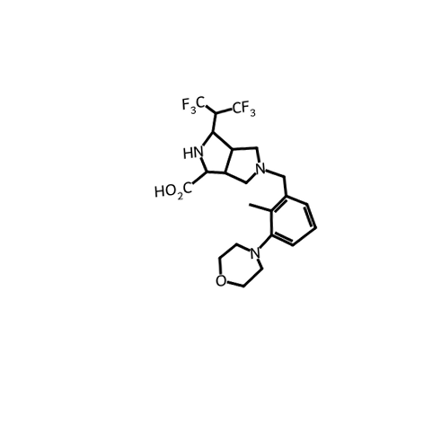 Cc1c(CN2CC3C(C(=O)O)NC(C(C(F)(F)F)C(F)(F)F)C3C2)cccc1N1CCOCC1